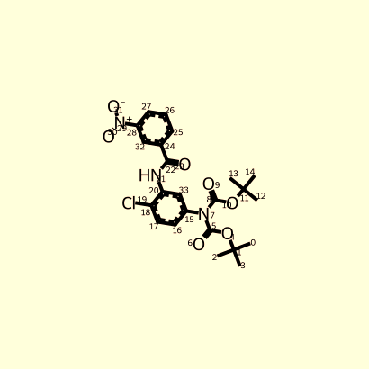 CC(C)(C)OC(=O)N(C(=O)OC(C)(C)C)c1ccc(Cl)c(NC(=O)c2cccc([N+](=O)[O-])c2)c1